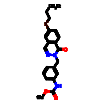 CCOC(=O)CCSc1ccc2c(=O)n(Cc3cccc(NC(=O)OC(C)(C)C)c3)ncc2c1